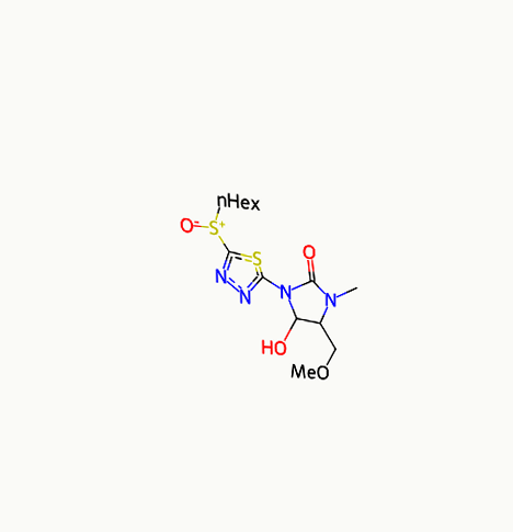 CCCCCC[S+]([O-])c1nnc(N2C(=O)N(C)C(COC)C2O)s1